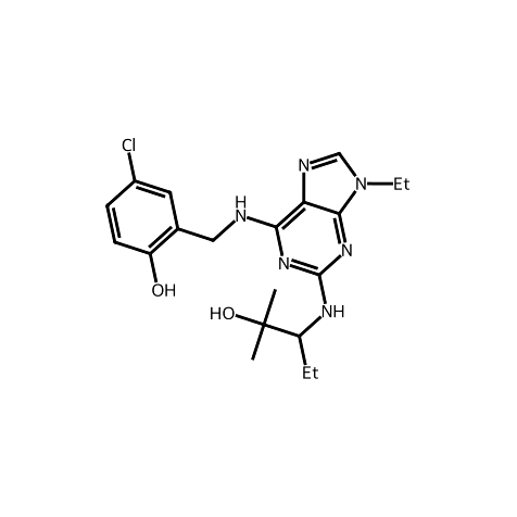 CCC(Nc1nc(NCc2cc(Cl)ccc2O)c2ncn(CC)c2n1)C(C)(C)O